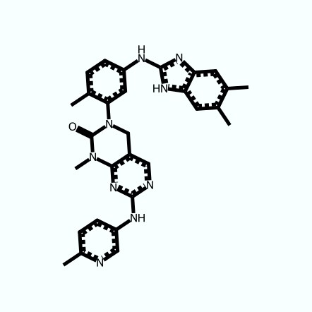 Cc1ccc(Nc2ncc3c(n2)N(C)C(=O)N(c2cc(Nc4nc5cc(C)c(C)cc5[nH]4)ccc2C)C3)cn1